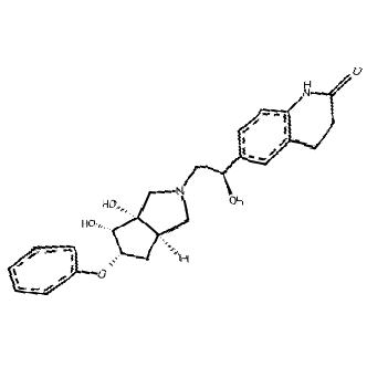 O=C1CCc2cc([C@@H](O)CN3C[C@H]4C[C@H](Oc5ccccc5)[C@H](O)[C@@]4(O)C3)ccc2N1